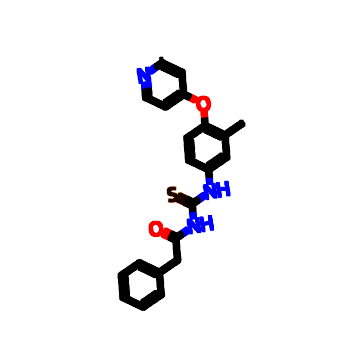 Cc1cc(NC(=S)NC(=O)Cc2ccccc2)ccc1Oc1c[c]ncc1